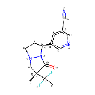 CC(F)(F)[C@]1(C)CN2CC[C@@H](c3cncc(C#N)c3)N2C1=O